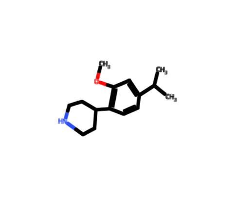 COc1cc(C(C)C)ccc1C1CCNCC1